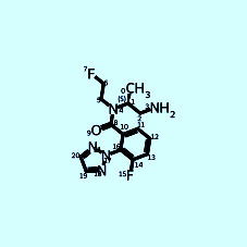 C[C@@H](CN)N(CCF)C(=O)c1cccc(F)c1-n1nccn1